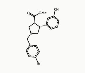 COC(=O)[C@@H]1CN(Cc2ccc(Br)cc2)C[C@H]1c1cccc(C#N)c1